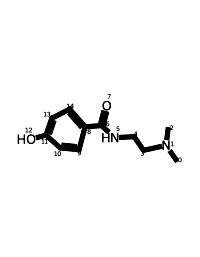 CN(C)CCNC(=O)c1ccc(O)cc1